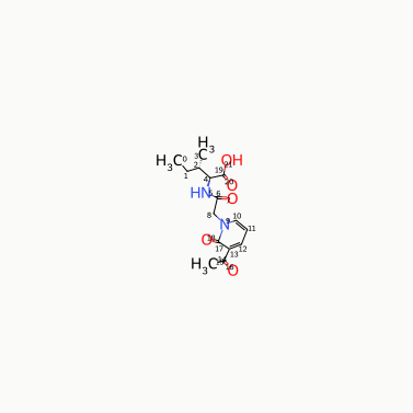 CC[C@H](C)[C@H](NC(=O)Cn1cccc(C(C)=O)c1=O)C(=O)O